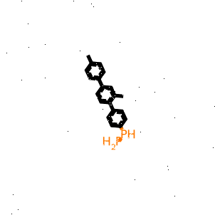 Cc1ccc(-c2ccc(-c3ccc(PP)cc3)c(C)c2)cc1